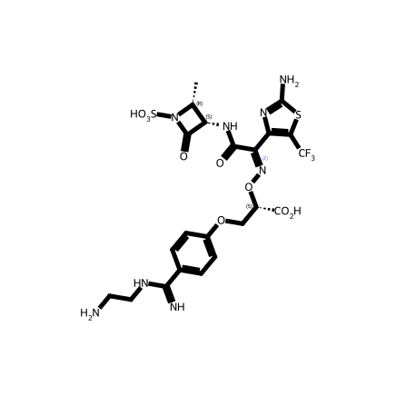 C[C@@H]1[C@H](NC(=O)/C(=N\O[C@@H](COc2ccc(C(=N)NCCN)cc2)C(=O)O)c2nc(N)sc2C(F)(F)F)C(=O)N1S(=O)(=O)O